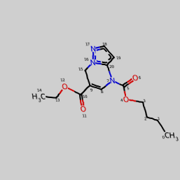 CCCCOC(=O)N1C=C(C(=O)OCC)Cn2nccc21